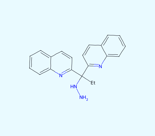 CCC(NN)(c1ccc2ccccc2n1)c1ccc2ccccc2n1